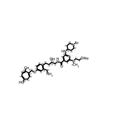 COCCN(C)c1cc(C(=O)NC[C@@H](O)CCc2ccc(OCC3=CCC(O)=CC=C3C)cc2CN)cc(NC2CCN(C(C)=O)CC2)n1